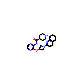 O=C(Nc1nccnc1OC1CN(c2ccc3ccccc3n2)C1)C1CCNCC1